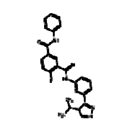 CC(C)n1cnnc1-c1cccc(NC(=O)c2cc(C(=O)Nc3ccccc3)ccc2F)n1